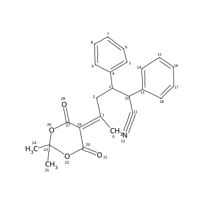 CC(CC(c1ccccc1)C(C#N)c1ccccc1)=C1C(=O)OC(C)(C)OC1=O